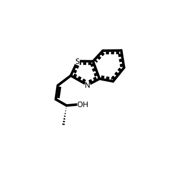 C[C@@H](O)/C=C\c1nc2ccccc2s1